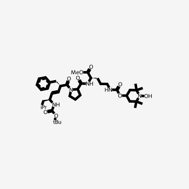 COC(=O)[C@H](CCCNC(=O)OC1CC(C)(C)N(O)C(C)(C)C1)NC(=O)C1CCCN1C(=O)[C@H](/C=C/[C@H](CC(C)C)NC(=O)OC(C)(C)C)Cc1ccccc1